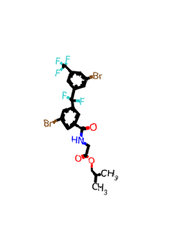 CC(C)COC(=O)CNC(=O)c1cc(Br)cc(C(F)(F)c2cc(Br)cc(C(F)(F)F)c2)c1